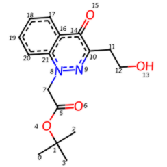 CC(C)(C)OC(=O)Cn1nc(CCO)c(=O)c2ccccc21